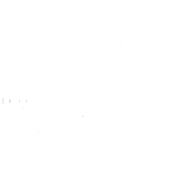 CCOC(=O)C1=Cc2cc(Cl)c(Cc3ccccc3)cc2OC1C(F)(F)F